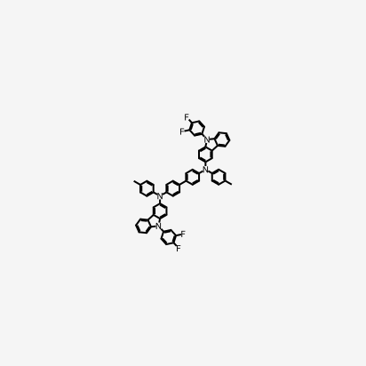 Cc1ccc(N(c2ccc(-c3ccc(N(c4ccc(C)cc4)c4ccc5c(c4)c4ccccc4n5-c4ccc(F)c(F)c4)cc3)cc2)c2ccc3c(c2)c2ccccc2n3-c2ccc(F)c(F)c2)cc1